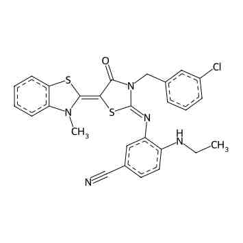 CCNc1ccc(C#N)cc1N=C1SC(=C2Sc3ccccc3N2C)C(=O)N1Cc1cccc(Cl)c1